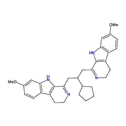 COc1ccc2c3c([nH]c2c1)C(CC(CC1=NCCc2c1[nH]c1cc(OC)ccc21)C1CCCC1)=NCC3